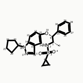 C[C@H](NS(=O)(=O)C1CC1)[C@H](Oc1ccc2c(cnn2C2CCCC2)c1)c1ccccc1